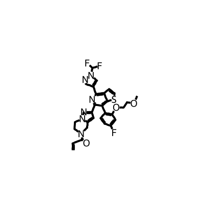 C=CC(=O)N1CCn2nc(-c3nc(-c4cnn(C(F)F)c4)c4ccsc4c3-c3ccc(F)cc3OCCOC)cc2C1